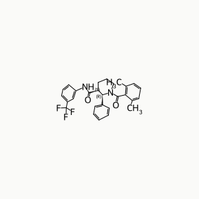 Cc1cccc(C)c1C(=O)N1CCC[C@H](C(=O)Nc2cccc(C(F)(F)F)c2)[C@@H]1c1ccccc1